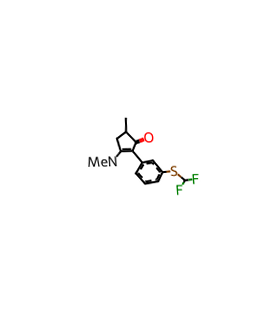 CNC1=C(c2cccc(SC(F)F)c2)C(=O)C(C)C1